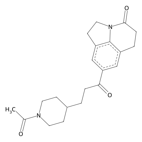 CC(=O)N1CCC(CCC(=O)c2cc3c4c(c2)CCN4C(=O)CC3)CC1